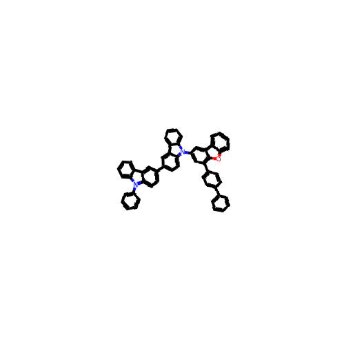 c1ccc(-c2ccc(-c3cc(-n4c5ccccc5c5cc(-c6ccc7c(c6)c6ccccc6n7-c6ccccc6)ccc54)cc4c3oc3ccccc34)cc2)cc1